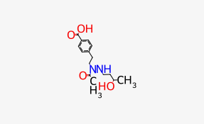 CC(=O)N(CCc1ccc(C(=O)O)cc1)NCCC(C)O